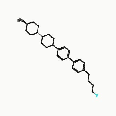 CCC[C@H]1CC[C@H](C2CCC(c3ccc(-c4ccc(CCCCF)cc4)cc3)CC2)CC1